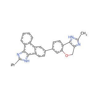 Cc1nc2c([nH]1)-c1ccc(-c3ccc4c(c3)c3ccccc3c3nc(C(C)C)[nH]c43)cc1OC2